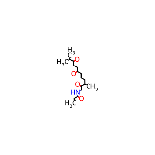 C=CC(=O)NCC(=O)C(C)C/C=C/C(=O)CCC(=O)C(C)C